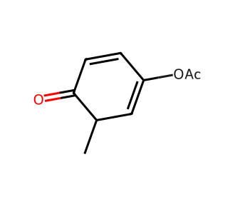 CC(=O)OC1=CC(C)C(=O)C=C1